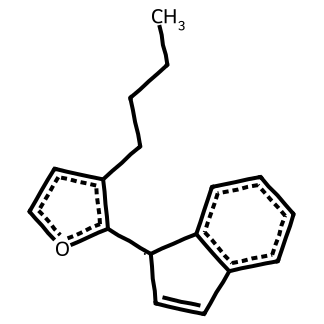 CCCCc1ccoc1[C]1C=Cc2ccccc21